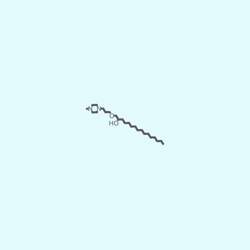 CCCCCCCCCCCCCCC(O)COCCCN1CCN(C)CC1